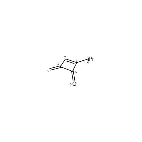 C=C1C=C(C(C)C)C1=O